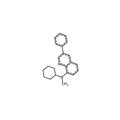 CN(c1cccc2cc(-c3ccccc3)cnc12)C1CCCCC1